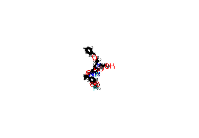 CC(C)(COCc1ccccc1)c1cc2cc(NC(=O)C3(c4ccc5c(c4)OC(F)(F)O5)CC3)c(F)cc2n1C[C@@H](O)CO